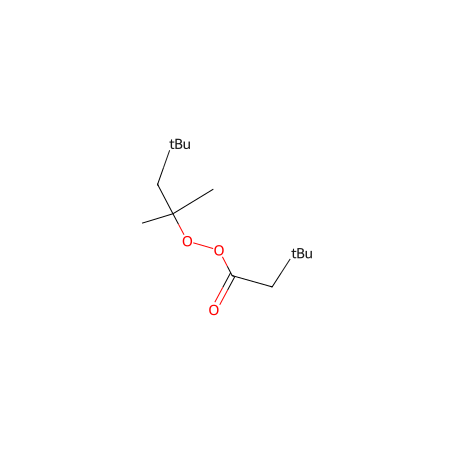 CC(C)(C)CC(=O)OOC(C)(C)CC(C)(C)C